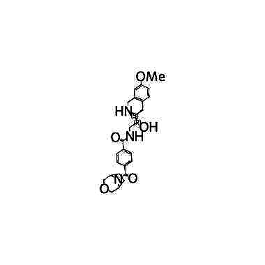 COc1ccc2c(c1)CN[C@H]([C@H](O)CNC(=O)c1ccc(C(=O)N3C4CCC3COC4)cc1)C2